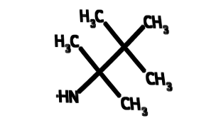 CC(C)(C)C(C)(C)[NH]